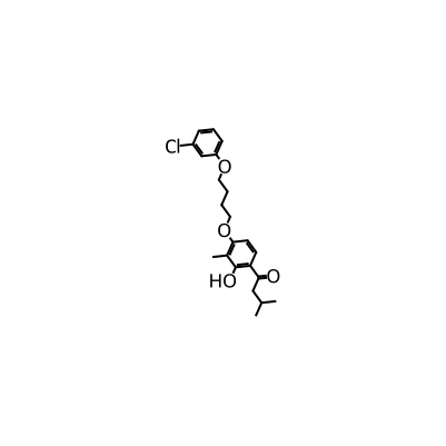 Cc1c(OCCCCOc2cccc(Cl)c2)ccc(C(=O)CC(C)C)c1O